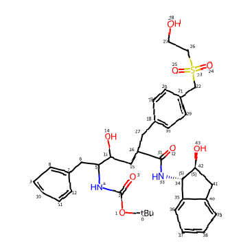 CC(C)(C)OC(=O)NC(Cc1ccccc1)C(O)CC(Cc1ccc(CS(=O)(=O)CCO)cc1)C(=O)N[C@H]1c2ccccc2C[C@@H]1O